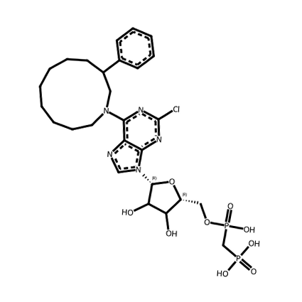 O=P(O)(O)CP(=O)(O)OC[C@H]1O[C@@H](n2cnc3c(N4CCCCCCCCC(c5ccccc5)C4)nc(Cl)nc32)C(O)C1O